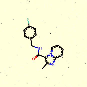 Cc1nc2ccccn2c1C(=O)NCc1ccc(F)cc1